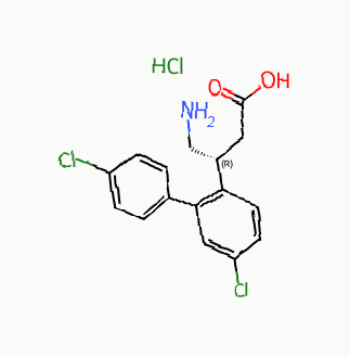 Cl.NC[C@H](CC(=O)O)c1ccc(Cl)cc1-c1ccc(Cl)cc1